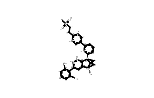 CC1(C)[C@H]2CC[C@@]1(c1cccc(-c3cnc(CCS(C)(=O)=O)nc3)n1)c1nnc(-c3c(F)cccc3F)cc12